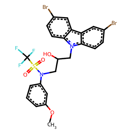 COc1cccc(N(CC(O)Cn2c3ccc(Br)cc3c3cc(Br)ccc32)S(=O)(=O)C(F)(F)F)c1